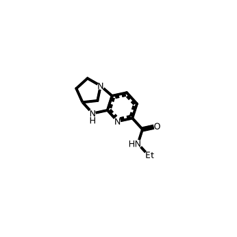 CCNC(=O)c1ccc2c(n1)NC1CCN2C1